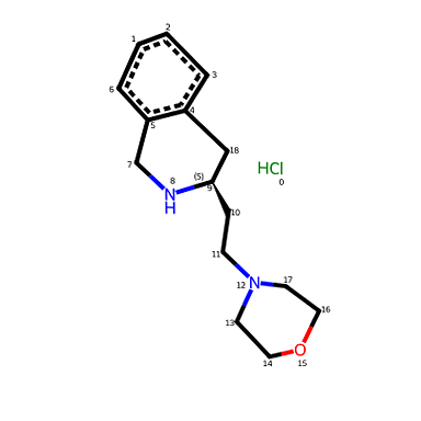 Cl.c1ccc2c(c1)CN[C@H](CCN1CCOCC1)C2